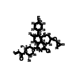 C=CC(=O)N1[C@H](C)CN(c2nc(=O)n3c4c(c(-c5ccc(F)cc5)c(C)cc24)SCC(OC2CC2)C3)C[C@@H]1C